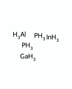 P.P.[AlH3].[GaH3].[InH3]